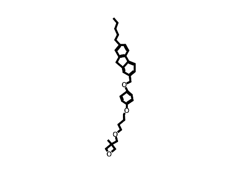 CCCCCc1ccc2c(c1)Cc1cc(COc3ccc(OCCCCOCC4(C)COC4)cc3)ccc1-2